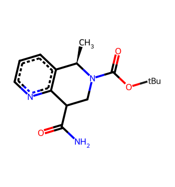 C[C@@H]1c2cccnc2C(C(N)=O)CN1C(=O)OC(C)(C)C